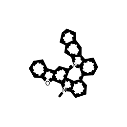 Cn1c2cccc3c4cccc5c6cc7ccccc7cc6n(c6cc7c8ccccc8oc7c1c6c32)c45